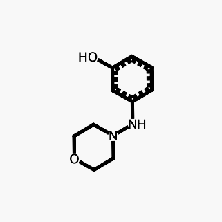 Oc1cccc(NN2CCOCC2)c1